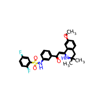 COc1ccc2c(c1)C(=CC(=O)c1cccc(NS(=O)(=O)c3cc(F)ccc3F)c1)NC(C)(C)C2